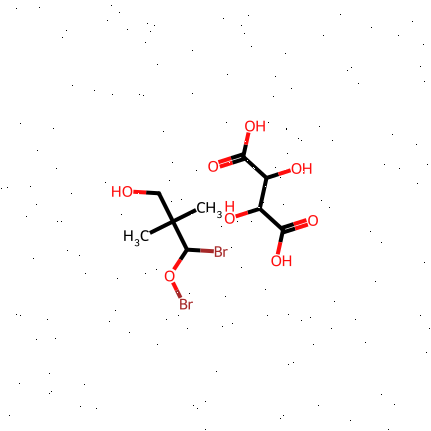 CC(C)(CO)C(Br)OBr.O=C(O)C(O)C(O)C(=O)O